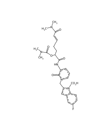 CN(C)C(=O)C=CCCC(OC(=O)N(C)C)C(=O)Nc1cccn(Cc2cc3cc(F)ccc3n2C(=O)O)c1=O